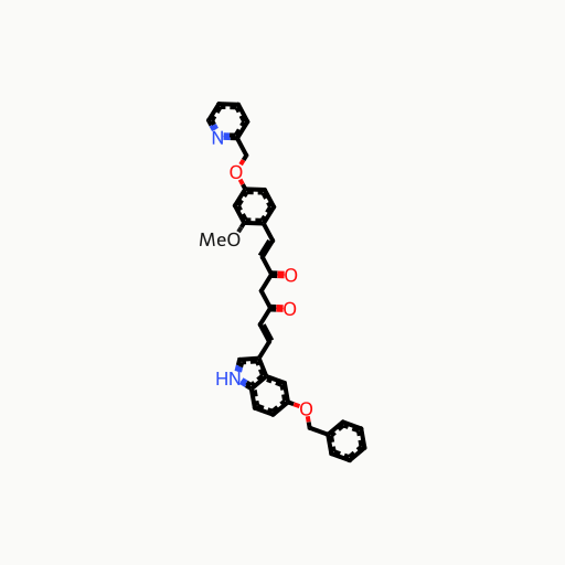 COc1cc(OCc2ccccn2)ccc1/C=C/C(=O)CC(=O)/C=C/c1c[nH]c2ccc(OCc3ccccc3)cc12